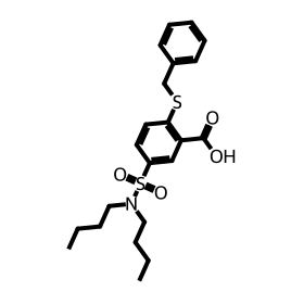 CCCCN(CCCC)S(=O)(=O)c1ccc(SCc2ccccc2)c(C(=O)O)c1